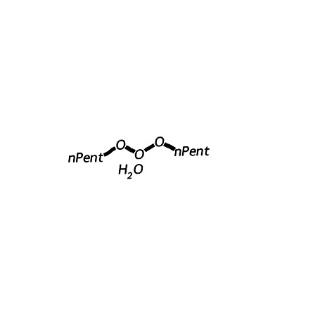 CCCCCOOOCCCCC.O